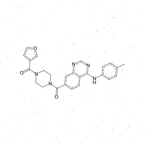 Cc1ccc(Nc2ncnc3cc(C(=O)N4CCN(C(=O)c5ccoc5)CC4)ccc23)cc1